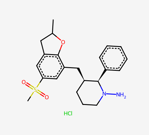 CC1Cc2cc(S(C)(=O)=O)cc(C[C@@H]3CCCN(N)[C@@H]3c3ccccc3)c2O1.Cl